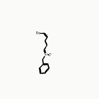 CC/C=C\CCC=[N+]([O-])Cc1ccccc1